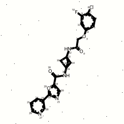 O=C(COc1ccc(Cl)c(F)c1)NC12CC(NC(=O)c3cnc(-c4cccnc4)o3)(C1)C2